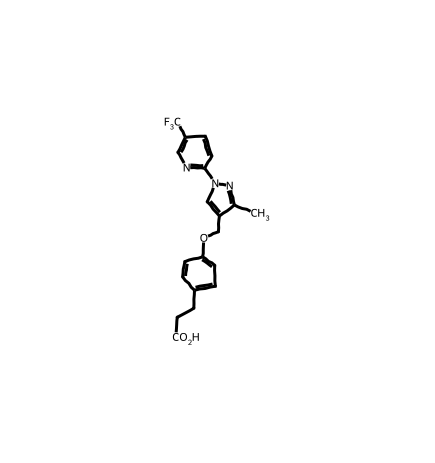 Cc1nn(-c2ccc(C(F)(F)F)cn2)cc1COc1ccc(CCC(=O)O)cc1